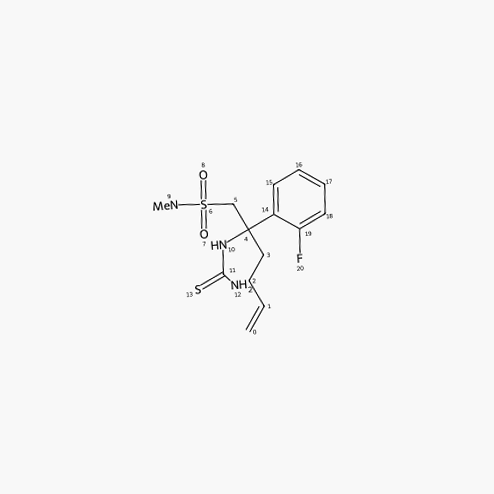 C=CCCC(CS(=O)(=O)NC)(NC(N)=S)c1ccccc1F